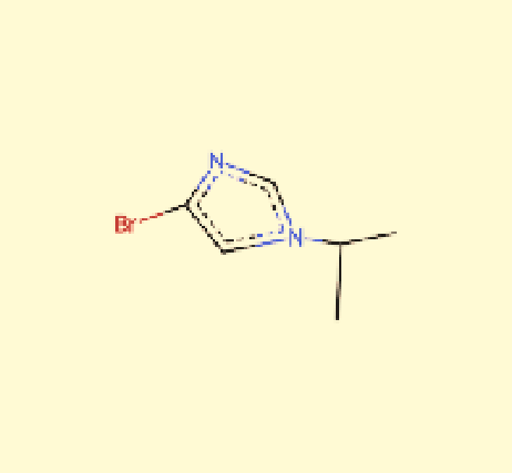 CC(C)n1cnc(Br)c1